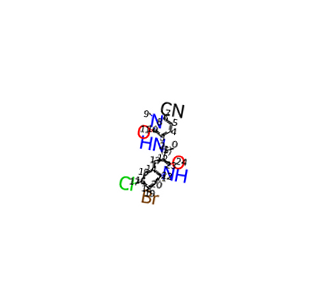 C[C@H](Nc1ccc(C#N)n(C)c1=O)c1cc2cc(Cl)c(Br)cc2[nH]c1=O